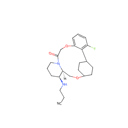 N#CCCN[C@H]1CCCN2C(=O)COc3cccc(F)c3C3CCC(CC3)OC[C@@H]12